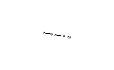 [Ru].[Ta][Pt][Ir]